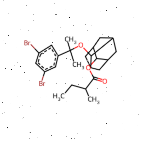 CCC(C)C(=O)OC1C2CC3CC1CC(C2)C3OC(C)(C)c1cc(Br)cc(Br)c1